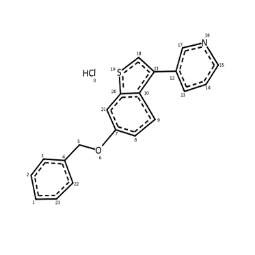 Cl.c1ccc(COc2ccc3c(-c4cccnc4)csc3c2)cc1